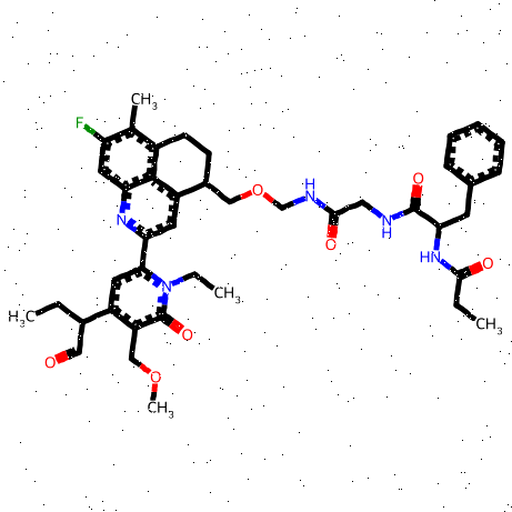 CCC(=O)NC(Cc1ccccc1)C(=O)NCC(=O)NCOCC1CCc2c(C)c(F)cc3nc(-c4cc(C(C=O)CC)c(COC)c(=O)n4CC)cc1c23